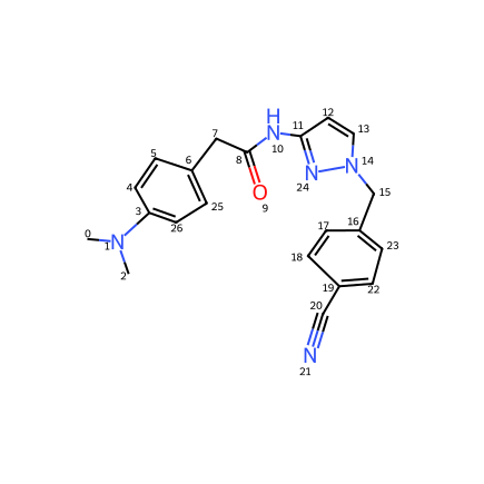 CN(C)c1ccc(CC(=O)Nc2ccn(Cc3ccc(C#N)cc3)n2)cc1